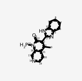 Cc1c(-c2nc3ccccc3[nH]2)c(=O)n(P)c2cnccc12